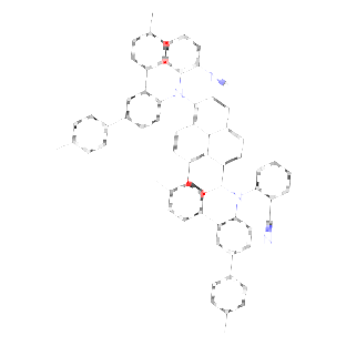 [C-]#[N+]c1ccccc1N(C1=C2C=CC3=C4C(=CC=C(C=C1)C24)C(N(c1ccccc1C#N)c1ccc(-c2ccc(C)cc2)cc1-c1ccc(C)cc1)C=C3)c1ccc(-c2ccc(C)cc2)cc1-c1ccc(C)cc1